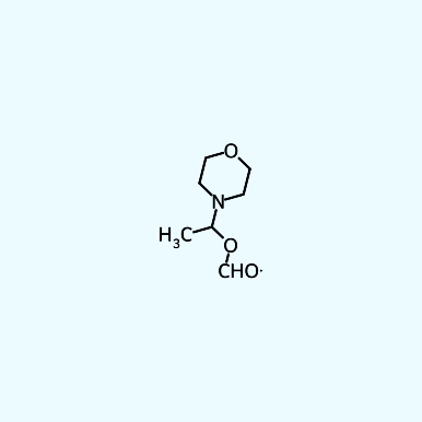 CC(O[C]=O)N1CCOCC1